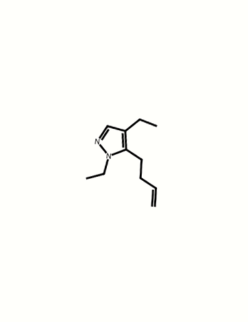 C=CCCc1c(CC)cnn1CC